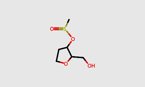 CS(=O)OC1CCOC1CO